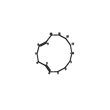 [CH]1CCC/C=C/CC/C=C/CCCC1